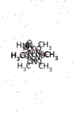 Cc1ccc2c(c1)c1cc(C)ccc1n2-c1c(C#N)c(-n2c3ccc(C)cc3c3cc(C)ccc32)c(-n2c3ccc(C)cc3c3cc(C)ccc32)c(-c2cccc(-n3c4ccccc4c4ncccc43)c2)c1-n1c2ccc(C)cc2c2cc(C)ccc21